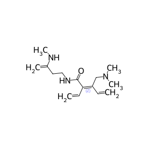 C=C/C(CN(C)C)=C(\C=C)C(=O)NCCC(=C)NC